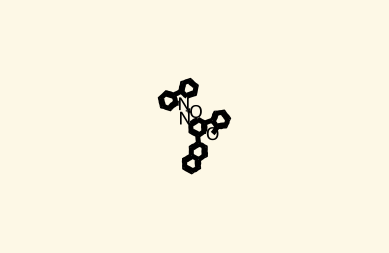 c1ccc2cc(-c3cc4nc(-n5c6ccccc6c6ccccc65)oc4c4c3oc3ccccc34)ccc2c1